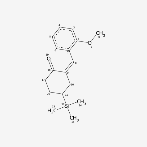 COc1ccccc1/C=C1/CC([Si](C)(C)C)CCC1=O